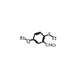 CCOc1ccc(SCC)c(C=O)c1